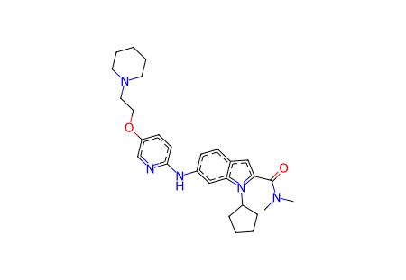 CN(C)C(=O)c1cc2ccc(Nc3ccc(OCCN4CCCCC4)cn3)cc2n1C1CCCC1